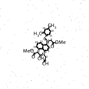 C#CCN(c1ccc(N(CC(=O)OC)Sc2ccc(C)cc2C)c2ccccc12)C(C)CC(=O)OC